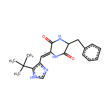 CC(C)(C)c1[nH]cnc1/C=C1\NC(=O)C(Cc2ccccc2)NC1=O